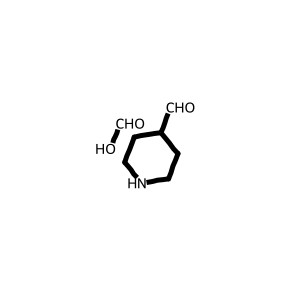 O=CC1CCNCC1.O=CO